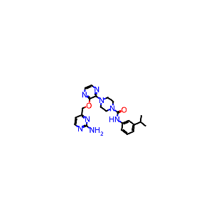 CC(C)c1cccc(NC(=O)N2CCN(c3nccnc3OCc3ccnc(N)n3)CC2)c1